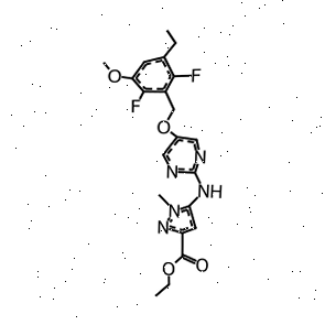 CCOC(=O)c1cc(Nc2ncc(OCc3c(F)c(CC)cc(OC)c3F)cn2)n(C)n1